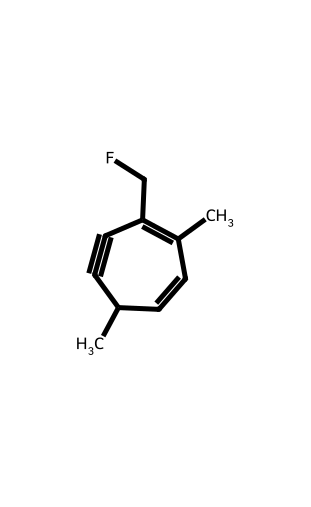 CC1=C(CF)C#CC(C)C=C1